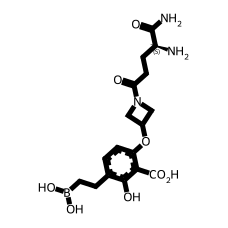 NC(=O)[C@@H](N)CCC(=O)N1CC(Oc2ccc(CCB(O)O)c(O)c2C(=O)O)C1